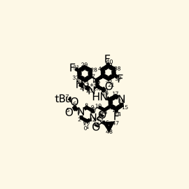 C[C@@H]1CN(C(=O)OC(C)(C)C)C[C@H](CCc2c(F)cncc2NC(=O)[C@@H](N=[N+]=[N-])[C@@H](c2ccc(F)cc2)c2cc(F)cc(F)c2)N1S(=O)(=O)C1CC1